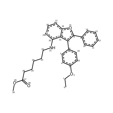 CCOc1ccc(-c2c(-c3ccccc3)oc3ncnc(NCCCCCC(=O)OC)c23)cc1